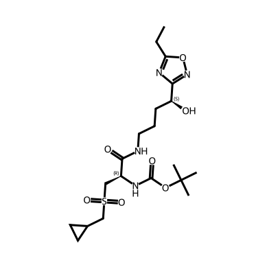 CCc1nc([C@@H](O)CCCNC(=O)[C@H](CS(=O)(=O)CC2CC2)NC(=O)OC(C)(C)C)no1